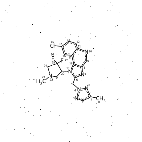 Cc1cnn(Cc2nc3cnc4ccc(Cl)cc4c3n2C2CN(C)CC2(F)F)n1